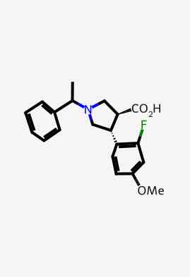 COc1ccc([C@@H]2CN(C(C)c3ccccc3)C[C@H]2C(=O)O)c(F)c1